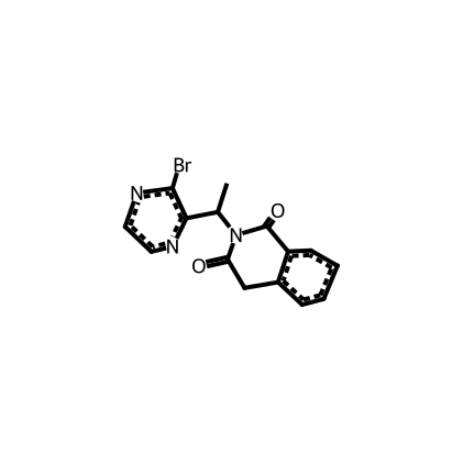 CC(c1nccnc1Br)N1C(=O)Cc2ccccc2C1=O